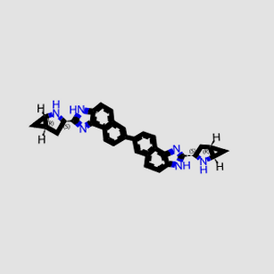 c1cc2c(ccc3[nH]c([C@@H]4C[C@H]5C[C@H]5N4)nc32)cc1-c1ccc2c(ccc3[nH]c([C@@H]4C[C@H]5C[C@H]5N4)nc32)c1